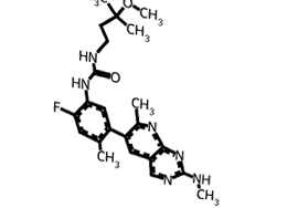 CNc1ncc2cc(-c3cc(NC(=O)NCCC(C)(C)OC)c(F)cc3C)c(C)nc2n1